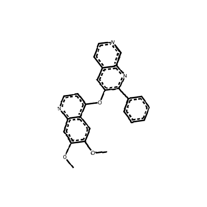 COc1cc2nccc(Oc3cc4ccncc4nc3-c3ccccc3)c2cc1OC